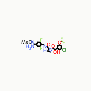 CO/N=C(\N)c1cc(F)c(CNC(=O)C2CCN2C(=O)C(O)c2cc(Cl)cc(OC(F)F)c2)c(F)c1